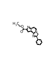 CCOC(=O)c1cc2c3n(ccc-2n1)CC(c1ccccc1)=N3